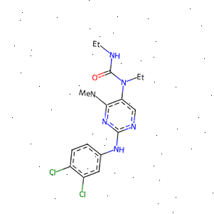 CCNC(=O)N(CC)c1cnc(Nc2ccc(Cl)c(Cl)c2)nc1NC